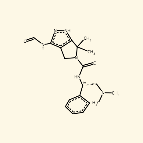 CN(C)C[C@@H](NC(=O)N1Cc2c(NC=O)n[nH]c2C1(C)C)c1ccccc1